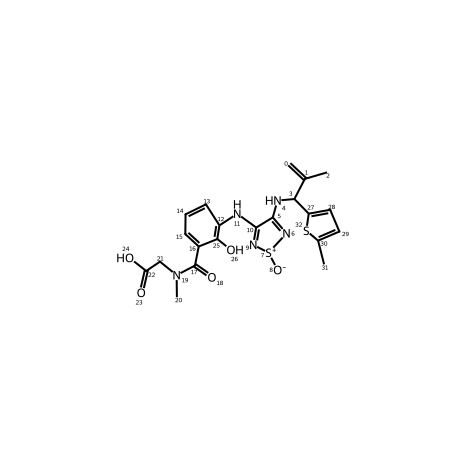 C=C(C)C(Nc1n[s+]([O-])nc1Nc1cccc(C(=O)N(C)CC(=O)O)c1O)c1ccc(C)s1